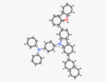 c1ccc(N(c2ccccc2)c2ccc(-n3c4cc(-c5ccc6ccccc6c5)ccc4c4ccc(-c5cccc6c5oc5ccccc56)cc43)cc2)cc1